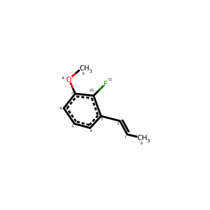 CC=Cc1cccc(OC)c1F